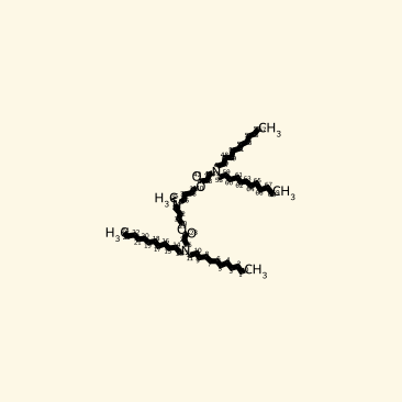 CCCCCCCCCCCCN(CCCCCCCCCCCC)CCC(=O)OCCCCN(C)CCCCOC(=O)CCN(CCCCCCCCCCCC)CCCCCCCCCCCC